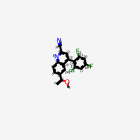 C=C(OC)c1ccc2nc(C#N)cc(-c3c(F)cc(F)cc3F)c2c1